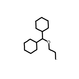 [CH2]CCOC(C1CCCCC1)C1CCCCC1